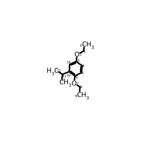 CCOc1ccc(OCC)c(C(C)C)c1